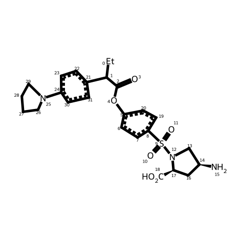 CCC(C(=O)Oc1ccc(S(=O)(=O)N2C[C@@H](N)C[C@H]2C(=O)O)cc1)c1ccc(N2CCCC2)cc1